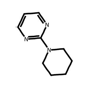 [c]1ccnc(N2CCCCC2)n1